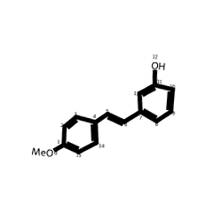 COc1ccc(/C=C/c2cccc(O)c2)cc1